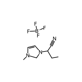 CCC(C#N)N1C=CN(C)C1.F[B-](F)(F)F